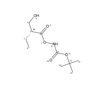 CC[C@H](CO)C(=O)ONC(=O)OC(C)(C)C